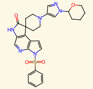 O=C1Nc2cnc3c(ccn3S(=O)(=O)c3ccccc3)c2C12CCN(c1cnn(C3CCCCO3)c1)CC2